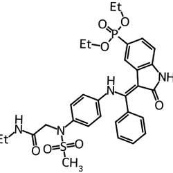 CCNC(=O)CN(c1ccc(NC(=C2C(=O)Nc3ccc(P(=O)(OCC)OCC)cc32)c2ccccc2)cc1)S(C)(=O)=O